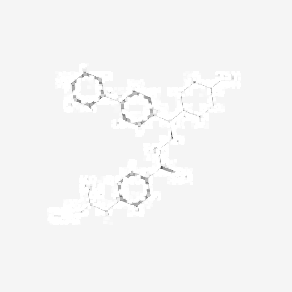 CC(C)(C)C1CCC([C@@H](CNC(=O)c2ccc(C[C@H](N)C(=O)O)cc2)c2ccc(-c3ccccc3)cc2)CC1